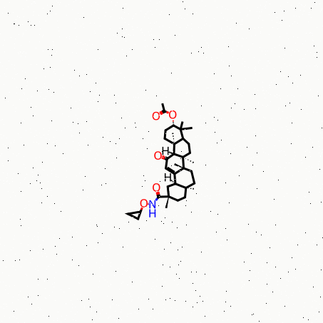 CC(=O)O[C@H]1CC[C@@]2(C)C(CC[C@]3(C)[C@@H]2C(=O)C=C2[C@@H]4C[C@@](C)(C(=O)NOC5CC5)CC[C@]4(C)CC[C@]23C)C1(C)C